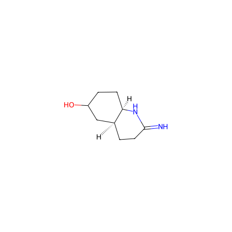 N=C1CC[C@H]2CC(O)CC[C@H]2N1